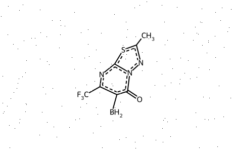 Bc1c(C(F)(F)F)nc2sc(C)nn2c1=O